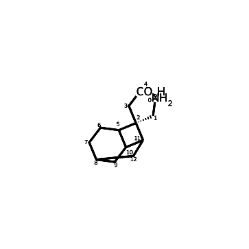 NC[C@@]1(CC(=O)O)C2CCC3CC2C1C3